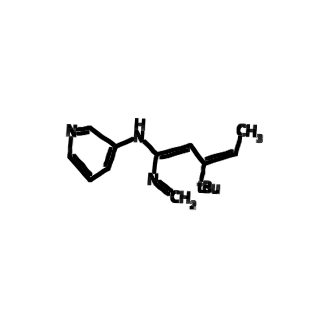 C=N/C(=C\C(=C/C)C(C)(C)C)Nc1cccnc1